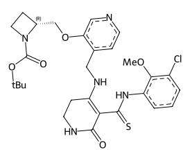 COc1c(Cl)cccc1NC(=S)C1=C(NCc2ccncc2OC[C@H]2CCN2C(=O)OC(C)(C)C)CCNC1=O